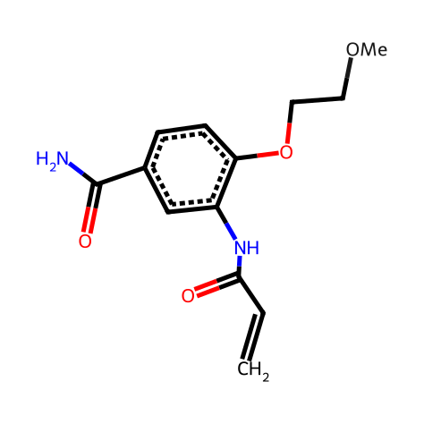 C=CC(=O)Nc1cc(C(N)=O)ccc1OCCOC